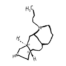 CCCN1CCCC2C[C@@H]3CNC[C@H]3CC21